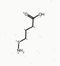 NSCCCC(=O)O